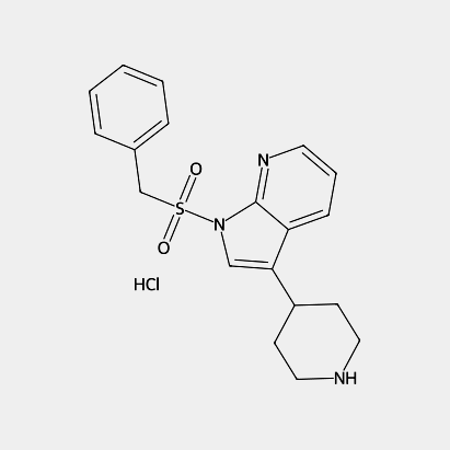 Cl.O=S(=O)(Cc1ccccc1)n1cc(C2CCNCC2)c2cccnc21